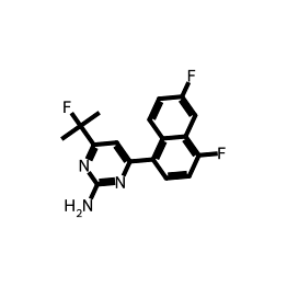 CC(C)(F)c1cc(-c2ccc(F)c3cc(F)ccc23)nc(N)n1